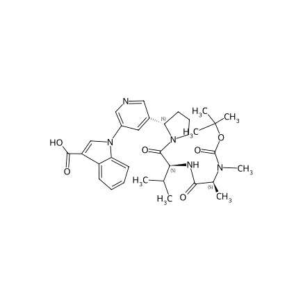 CC(C)[C@H](NC(=O)[C@H](C)N(C)C(=O)OC(C)(C)C)C(=O)N1CCC[C@H]1c1cncc(-n2cc(C(=O)O)c3ccccc32)c1